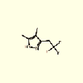 Cc1[nH]nc(CC(F)(F)F)c1C